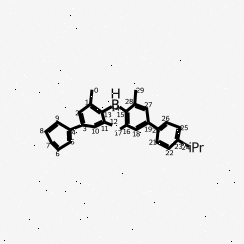 Cc1cc(-c2ccccc2)cc(C)c1Bc1c(C)cc(-c2ccc(C(C)C)cc2)cc1C